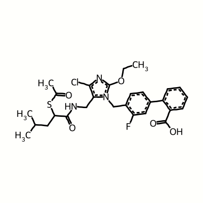 CCOc1nc(Cl)c(CNC(=O)C(CC(C)C)SC(C)=O)n1Cc1ccc(-c2ccccc2C(=O)O)cc1F